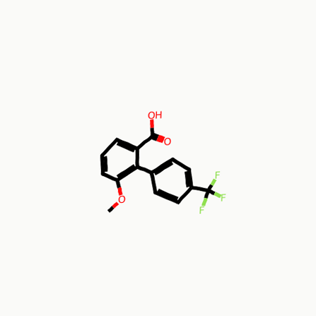 COc1cccc(C(=O)O)c1-c1ccc(C(F)(F)F)cc1